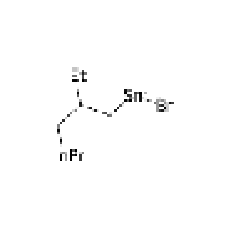 CCCCC(CC)[CH2][Sn][Br]